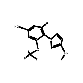 CNc1ccn(-c2c(C)cc(O)cc2OC(F)(F)F)c1